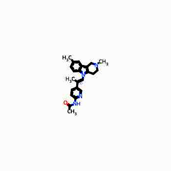 CC(=O)Nc1ccc(/C(C)=C/n2c3c(c4cc(C)ccc42)CN(C)CC3)cn1